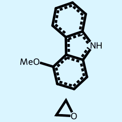 C1CO1.COc1cccc2[nH]c3ccccc3c12